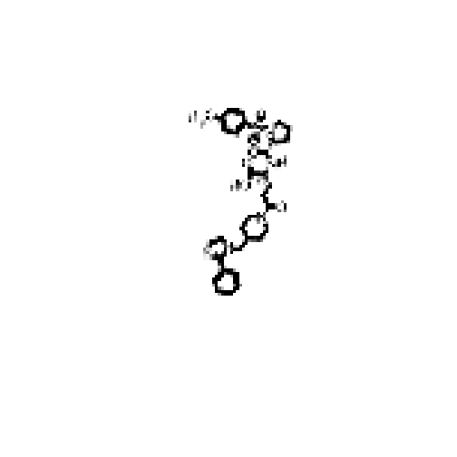 Cc1ccc(S(=O)(=O)N2CCC[C@H]2C(=O)N[C@@H](CCC(=O)N2CCC(Cn3ccnc3-c3ccccc3)CC2)C(=O)O)cc1